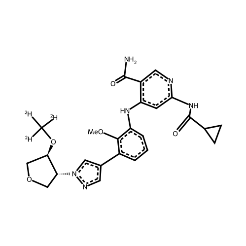 [2H]C([2H])([2H])O[C@@H]1COC[C@H]1n1cc(-c2cccc(Nc3cc(NC(=O)C4CC4)ncc3C(N)=O)c2OC)cn1